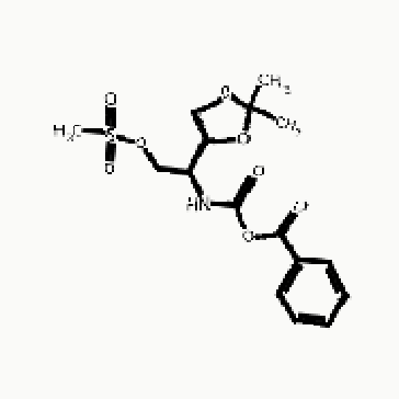 CC1(C)OCC(C(COS(C)(=O)=O)NC(=O)OC(=O)c2ccccc2)O1